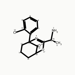 C[C@H](N)C1=NC2(c3ccccc3Cl)CCCC(O1)C2=O